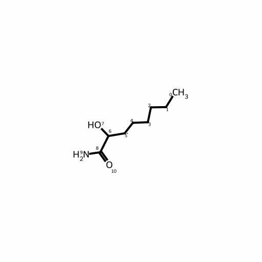 CCCCC[CH]C(O)C(N)=O